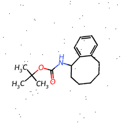 CC(C)(C)OC(=O)NC1CCCCCc2ccccc21